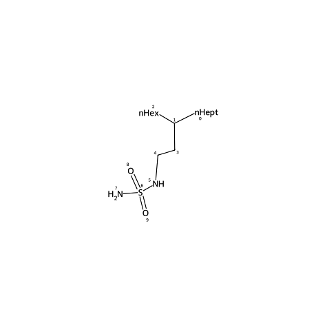 CCCCCCCC(CCCCCC)CCNS(N)(=O)=O